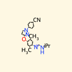 Cc1cc(Oc2ccn(-c3ccc(C#N)cc3)n2)c(C)cc1/N=C/NC(C)C